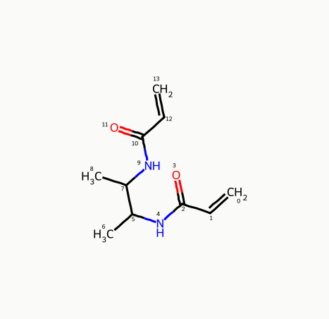 C=CC(=O)NC(C)C(C)NC(=O)C=C